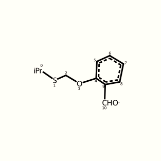 CC(C)SCOc1ccccc1[C]=O